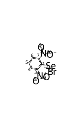 O=[N+]([O-])c1cccc([N+](=O)[O-])c1[Se]Br